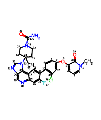 Cn1cccc(Oc2ccc(-c3cc4c(cc3F)ncc3ncn(C5(C)CCN(C(N)=O)CC5)c34)c(Cl)c2)c1=O